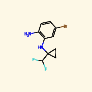 Nc1ccc(Br)cc1NC1(C(F)F)CC1